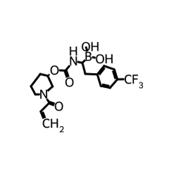 C=CC(=O)N1CCC[C@H](OC(=O)NC(Cc2ccc(C(F)(F)F)cc2)B(O)O)C1